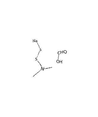 CN(C)S[S][Na].O=CO